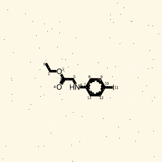 CCOC(=O)CNc1ccc(I)cc1